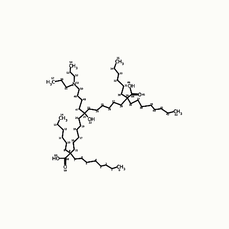 CCCCCCCCC(CCCCCC)(CCCCCCC(O)(CCCCCCC(CCCCCC)(CCCCCCCC)C(=O)O)CCCCN(CCC)CCC)C(=O)O